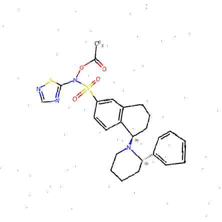 O=C(ON(c1ncns1)S(=O)(=O)c1ccc2c(c1)CCC[C@H]2N1CCCC[C@H]1c1ccccc1)C(F)(F)F